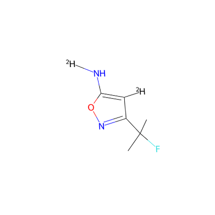 [2H]Nc1onc(C(C)(C)F)c1[2H]